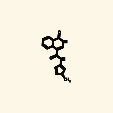 Cn1cc(NC(=O)C2=CNC(=O)C3C=CC=CC23)cn1